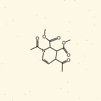 COC(=O)C1C(C(C)=O)C=CN(C(C)=O)C1C(=O)OC